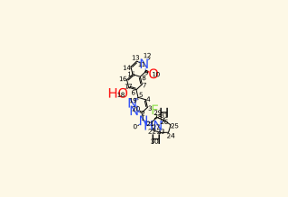 CN(c1ccc(-c2cc3c(=O)n(C)ccc3cc2O)nn1)[C@@H]1C[C@H]2CC[C@H](N2)[C@@H]1F